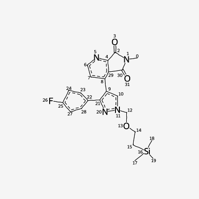 CN1C(=O)c2nccc(-c3cn(COCC[Si](C)(C)C)nc3-c3ccc(F)cc3)c2C1=O